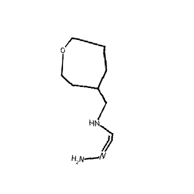 N/N=C\NCC1CCCOCC1